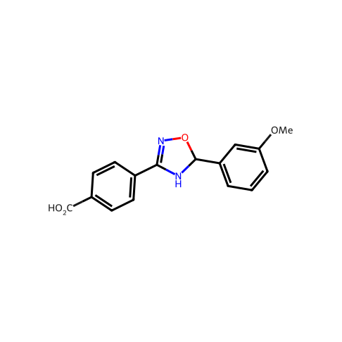 COc1cccc(C2NC(c3ccc(C(=O)O)cc3)=NO2)c1